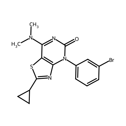 CN(C)c1nc(=O)n(-c2cccc(Br)c2)c2nc(C3CC3)sc12